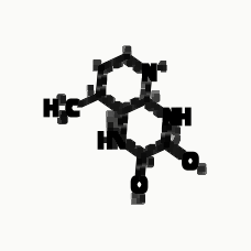 Cc1ccnc2[nH]c(=O)c(=O)[nH]c12